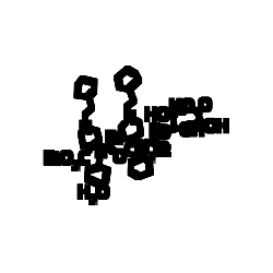 CCOC(=O)C1(N(C(=O)CC)c2ccccc2)CCN(CCc2ccccc2)CC1.CCOC(=O)C1(N(C(=O)CC)c2ccccc2)CCN(CCc2ccccc2)CC1.O.O=C(O)C(=O)O.O=C(O)C(=O)O